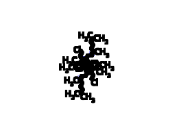 CC(C)=CCC/C(C)=C\C/C=C(\CCCl)c1c(S(=O)(=O)c2ccc(C)c(C)c2/C(=C/C/C=C(/C)CCC=C(C)C)CCCl)ccc(C)c1C